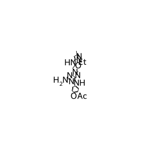 CCn1nc(C)cc1NC(=O)Cn1cnc2c(Nc3ccc(OC(C)=O)cc3)nc(N)nc21